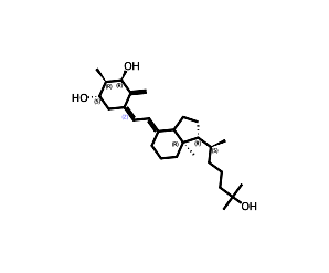 C=C1/C(=C\C=C2CCC[C@@]3(C)C2CC[C@@H]3[C@@H](C)CCCC(C)(C)O)C[C@H](O)[C@@H](C)[C@H]1O